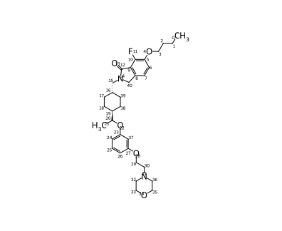 CCCCOc1ccc2c(c1F)C(=O)N(C[C@H]1CC[C@H](C(C)Oc3cccc(OCCN4CCOCC4)c3)CC1)C2